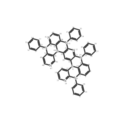 c1ccc(N2c3cccc4c3B(c3cccnc32)c2cc3c(nc2N4c2ccccc2)N(c2ccccc2)c2ccnc4c2B3c2cnccc2N4c2ccccc2)cc1